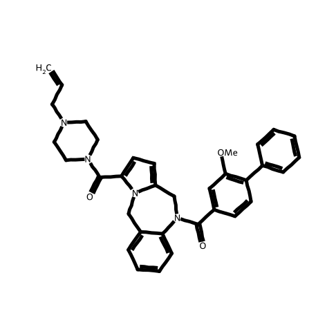 C=CCN1CCN(C(=O)c2ccc3n2Cc2ccccc2N(C(=O)c2ccc(-c4ccccc4)c(OC)c2)C3)CC1